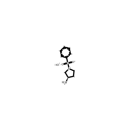 Cl.N[C@@H]1CCN(S(=O)(=O)c2ccccc2)C1